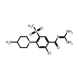 CCc1cc(N2CCC(N)CC2)c(S(C)(=O)=O)cc1C(=O)N=C(N)N